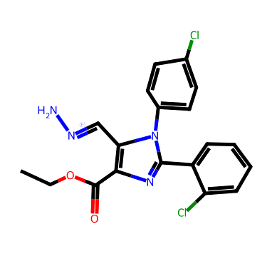 CCOC(=O)c1nc(-c2ccccc2Cl)n(-c2ccc(Cl)cc2)c1/C=N/N